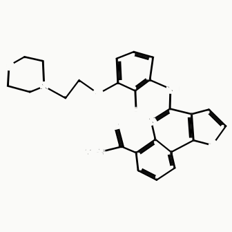 CNC(=O)c1cccc2c1nc(Nc1cccc(OCCN3CCOCC3)c1F)c1ccsc12